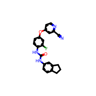 N#Cc1cc(Oc2ccc(NC(=O)Nc3ccc4c(c3)CCC4)c(F)c2)ccn1